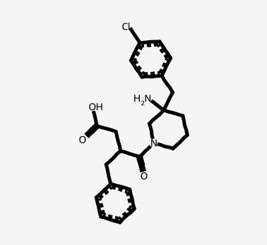 NC1(Cc2ccc(Cl)cc2)CCCN(C(=O)C(CC(=O)O)Cc2ccccc2)C1